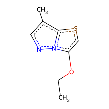 CCOc1csc2c(C)cnn12